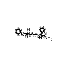 Nc1nc2ccccc2c2c1ncn2CCCCNC(=O)COc1ccccc1